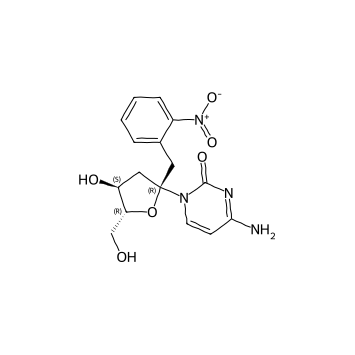 Nc1ccn([C@@]2(Cc3ccccc3[N+](=O)[O-])C[C@H](O)[C@@H](CO)O2)c(=O)n1